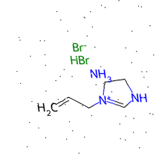 Br.C=CC[N+]1=CNCC1.N.[Br-]